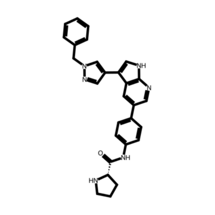 O=C(Nc1ccc(-c2cnc3[nH]cc(-c4cnn(Cc5ccccc5)c4)c3c2)cc1)[C@@H]1CCCN1